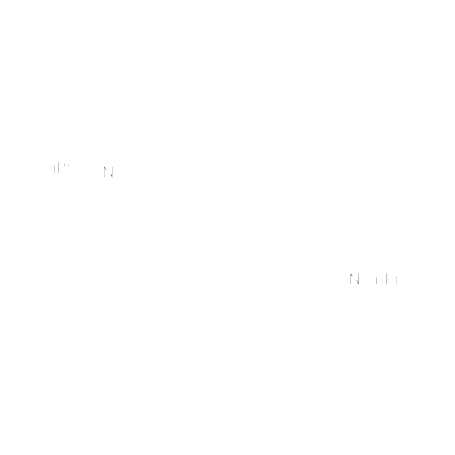 CCCN(Cc1ccc(-c2ccc(CN(c3ccc(C)cc3)C(C)C)cc2)cc1)c1ccc(C)cc1